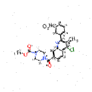 CCCOC(=O)N1CCN(C(=O)c2ccc3c(Cl)c(C)c(-c4cccc([N+](=O)[O-])c4)nc3c2)CC1